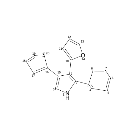 [c]1[nH]c(-c2ccccc2)c(-c2ccco2)c1-c1cccs1